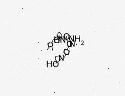 Cc1ccc(CO[C@H]2CCC[C@@H]2NC(=O)c2cc(-c3ccc(CN4CCCC(O)C4)cc3)cnc2N)cc1C